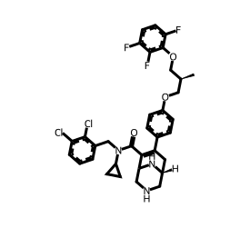 C[C@@H](COc1ccc(C2=C(C(=O)N(Cc3cccc(Cl)c3Cl)C3CC3)C3CNC[C@@H](C2)N3)cc1)COc1c(F)ccc(F)c1F